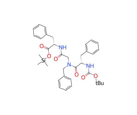 CC(C)(C)OC(=O)N[C@@H](Cc1ccccc1)C(=O)N(CC(=O)N[C@@H](Cc1ccccc1)C(=O)O[Si](C)(C)C)Cc1ccccc1